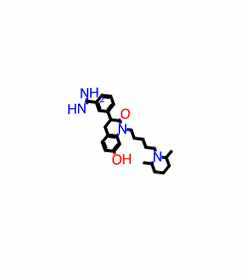 CC1CCCC(C)N1CCCCCN1C(=O)C(c2cccc(C(=N)N)c2)Cc2ccc(O)cc21